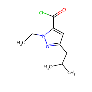 CCn1nc(CC(C)C)cc1C(=O)Cl